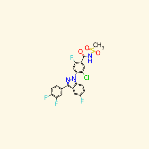 CS(=O)(=O)NC(=O)c1cc(Cl)c(-n2nc(-c3ccc(F)c(F)c3)c3cc(F)ccc32)cc1F